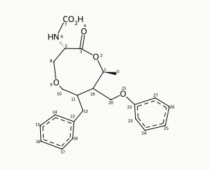 C[C@@H]1OC(=O)[C@@H](NC(=O)O)COCC(Cc2ccccc2)C1COc1ccccc1